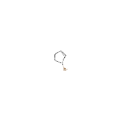 BrC1C=CC=C1